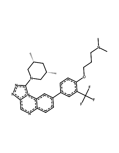 C[C@@H]1C[C@H](C)CN(c2nnc3cnc4ccc(-c5ccc(OCCCN(C)C)c(C(F)(F)F)c5)cc4n23)C1